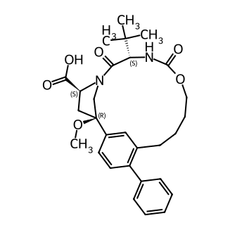 CO[C@@]12C[C@@H](C(=O)O)N(C1)C(=O)[C@H](C(C)(C)C)NC(=O)OCCCCc1cc2ccc1-c1ccccc1